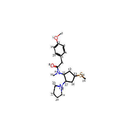 COc1ccc(CC(=O)N(C)C2CC(SC)CC2N2CCCC2)cc1